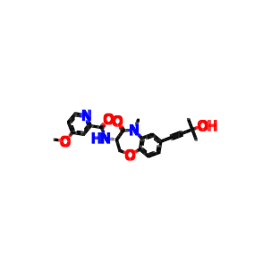 COc1ccnc(C(=O)N[C@H]2COc3ccc(C#CC(C)(C)O)cc3N(C)C2=O)c1